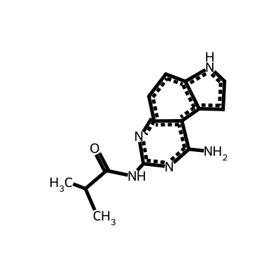 CC(C)C(=O)Nc1nc(N)c2c(ccc3[nH]ccc32)n1